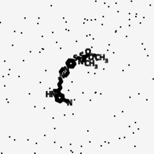 CCOC(=O)c1sc(Sc2ccc(N3CCN(CCCCc4c[nH]c5ccc(C#N)cc45)CC3)cc2)nc1C